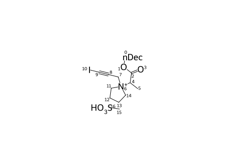 CCCCCCCCCCOC(=O)C(C)[N+]1(CC#CI)CCCC1.CS(=O)(=O)O